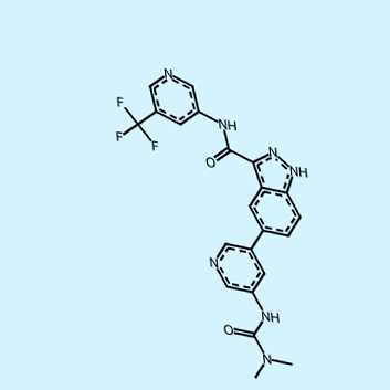 CN(C)C(=O)Nc1cncc(-c2ccc3[nH]nc(C(=O)Nc4cncc(C(F)(F)F)c4)c3c2)c1